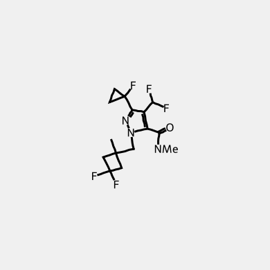 CNC(=O)c1c(C(F)F)c(C2(F)CC2)nn1CC1(C)CC(F)(F)C1